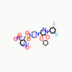 O=c1c(OC2CCCC2)c(N2CCN(S(=O)(=O)Cc3c[n+]([O-])ccc3[N+](=O)[O-])CC2)cnn1-c1cc(F)cc(F)c1